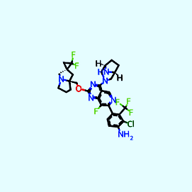 Nc1ccc(-c2ncc3c(N4C[C@H]5CC[C@@H](C4)N5)nc(OC[C@@]45CCCN4C[C@@]4(CC4(F)F)C5)nc3c2F)c(C(F)(F)F)c1Cl